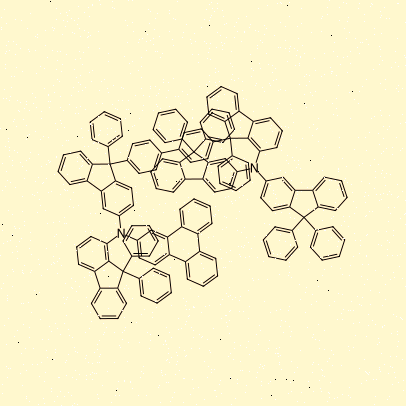 c1ccc(C2(c3ccccc3)c3ccccc3-c3cc(N(c4ccc5c(c4)C(c4ccccc4)(c4ccccc4)c4ccccc4-5)c4cccc5c4C(c4ccccc4)(c4ccc(-c6ccc(C7(c8ccccc8)c8ccccc8-c8cc(N(c9ccc%10c%11ccccc%11c%11ccccc%11c%10c9)c9cccc%10c9C(c9ccccc9)(c9ccccc9)c9ccccc9-%10)ccc87)cc6)cc4)c4ccccc4-5)ccc32)cc1